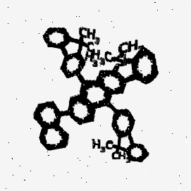 CC1(C)c2ccccc2-c2ccc(-c3c4ccc(-c5cccc6ccccc56)cc4c(-c4ccc5c(c4)C(C)(C)c4ccccc4-5)c4cc5c(cc34)-c3ccccc3[Si]5(C)C)cc21